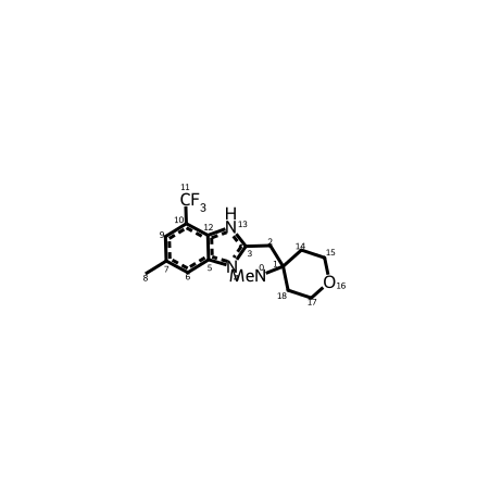 CNC1(Cc2nc3cc(C)cc(C(F)(F)F)c3[nH]2)CCOCC1